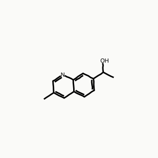 Cc1cnc2cc(C(C)O)ccc2c1